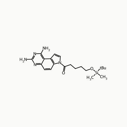 CC(C)(C)[Si](C)(C)OCCCCC(=O)n1ccc2c3c(N)nc(N)nc3ccc21